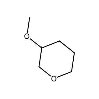 CO[C]1CCCOC1